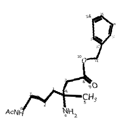 CC(=O)NCCCC(C)(N)CC(=O)OCc1ccccc1